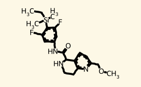 CC[Si](C)(C)c1c(F)cc(NC(=O)C2NCCc3nc(COC)ccc32)cc1F